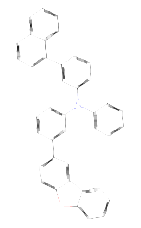 c1ccc(N(c2cccc(-c3ccc4oc5ccccc5c4c3)c2)c2cccc(-c3cccc4ccccc34)c2)cc1